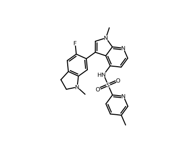 Cc1ccc(S(=O)(=O)Nc2ccnc3c2c(-c2cc4c(cc2F)CCN4C)cn3C)nc1